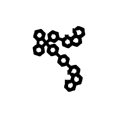 c1cc(-c2ccc3ccc4cccnc4c3n2)cc(C2(c3ccc(-c4ccc(-c5ccc6ccc7cccnc7c6n5)cc4)cc3)c3ccccc3-c3ccccc32)c1